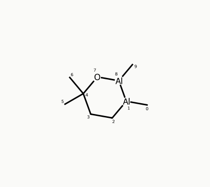 [CH3][Al]1[CH2]CC(C)(C)[O][Al]1[CH3]